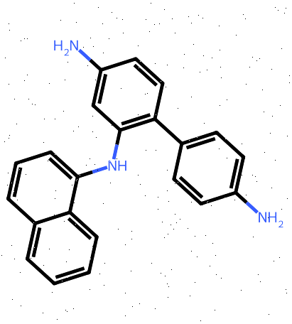 Nc1ccc(-c2ccc(N)cc2Nc2cccc3ccccc23)cc1